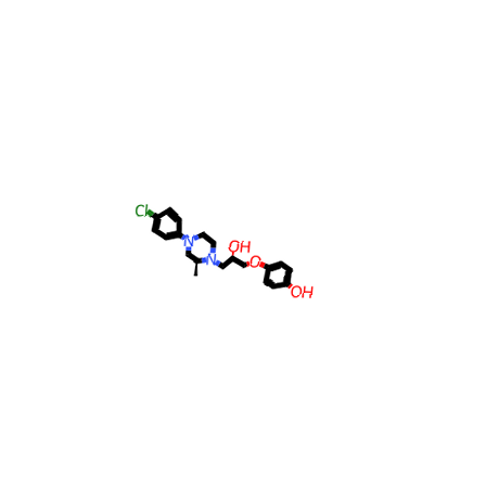 C[C@H]1CN(c2ccc(Cl)cc2)CCN1C[C@H](O)COc1ccc(O)cc1